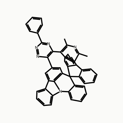 Cc1ccc(-c2nc(-c3ccccc3)nnc2-c2cc3c4c(c2)c2ccccc2n4-c2ccccc2C32c3ccccc3-c3ccccc32)c(C)n1